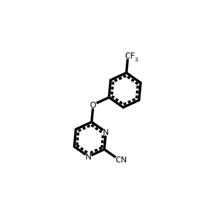 N#Cc1nccc(Oc2cccc(C(F)(F)F)c2)n1